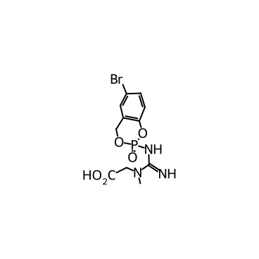 CN(CC(=O)O)C(=N)NP1(=O)OCc2cc(Br)ccc2O1